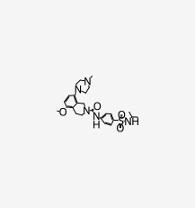 COc1ccc(N2CCN(C)CC2)c2c1CCN(C(=O)Nc1ccc(S(=O)(=O)NC(C)C)cc1)C2